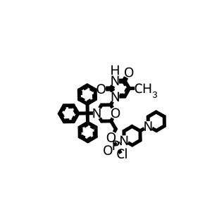 Cc1cn(C2CN(C(c3ccccc3)(c3ccccc3)c3ccccc3)CC(COP(=O)(Cl)N3CCC(N4CCCCC4)CC3)O2)c(=O)[nH]c1=O